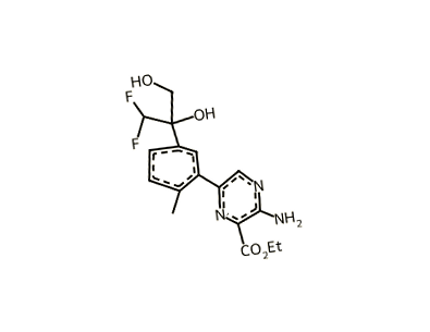 CCOC(=O)c1nc(-c2cc(C(O)(CO)C(F)F)ccc2C)cnc1N